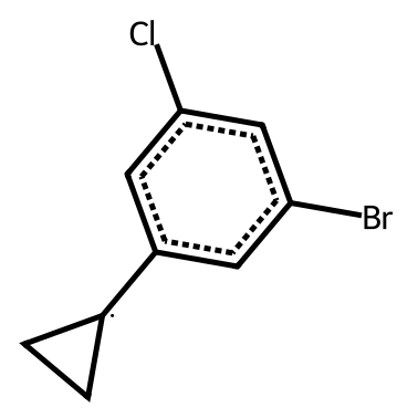 Clc1cc(Br)cc([C]2CC2)c1